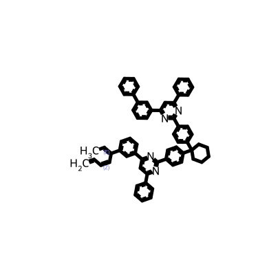 C=C/C=C\C(=C/C)c1cccc(-c2cc(-c3ccccc3)nc(-c3ccc(C4(c5ccc(-c6nc(-c7ccccc7)cc(-c7cccc(-c8ccccc8)c7)n6)cc5)CCCCC4)cc3)n2)c1